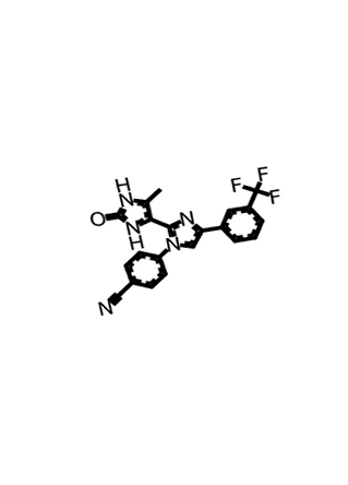 Cc1[nH]c(=O)[nH]c1-c1nc(-c2cccc(C(F)(F)F)c2)cn1-c1ccc(C#N)cc1